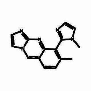 Cc1ccc2cn3ccnc3nc2c1-c1nccn1C